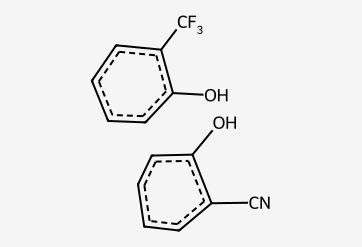 N#Cc1ccccc1O.Oc1ccccc1C(F)(F)F